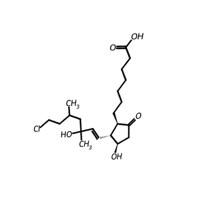 CC(CCCl)CC(C)(O)C=C[C@H]1[C@H](O)CC(=O)[C@@H]1CCCCCCC(=O)O